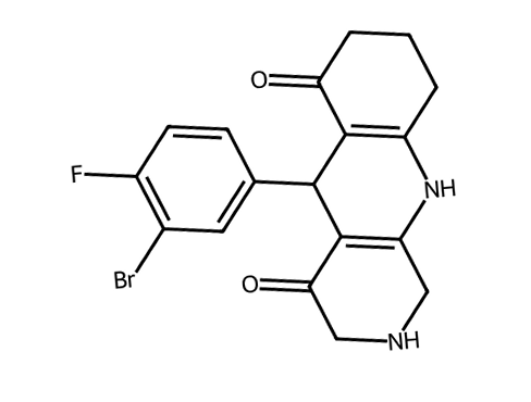 O=C1CCCC2=C1C(c1ccc(F)c(Br)c1)C1=C(CNCC1=O)N2